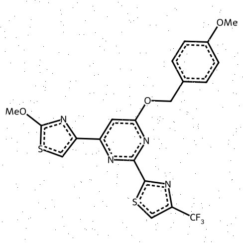 COc1ccc(COc2cc(-c3csc(OC)n3)nc(-c3nc(C(F)(F)F)cs3)n2)cc1